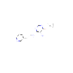 CC1(Oc2ncnc(NCCc3cccnc3)c2N)CC1